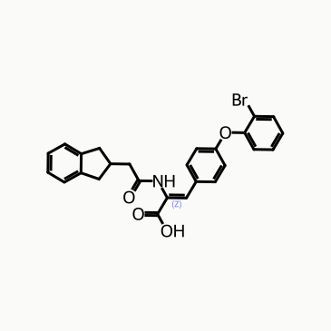 O=C(CC1Cc2ccccc2C1)N/C(=C\c1ccc(Oc2ccccc2Br)cc1)C(=O)O